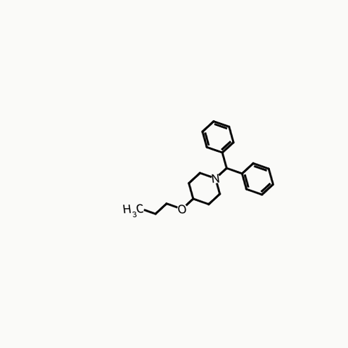 CCCOC1CCN(C(c2ccccc2)c2ccccc2)CC1